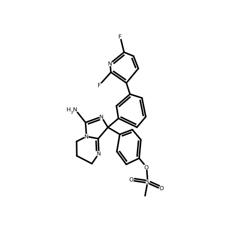 CS(=O)(=O)Oc1ccc(C2(c3cccc(-c4ccc(F)nc4F)c3)N=C(N)N3CCCN=C32)cc1